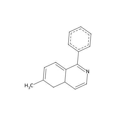 CC1=CC=C2C(c3ccccc3)=NC=CC2C1